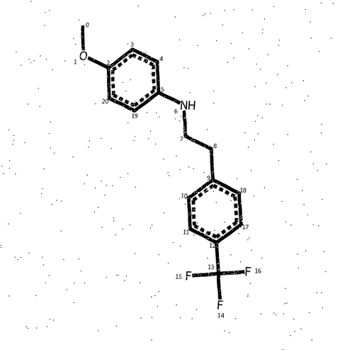 COc1ccc(NCCc2ccc(C(F)(F)F)cc2)cc1